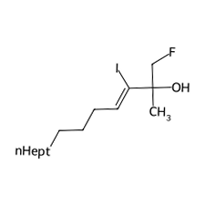 CCCCCCCCCCC=C(I)C(C)(O)CF